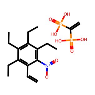 C=C(P(=O)(O)O)P(=O)(O)O.C=Cc1c(CC)c(CC)c(CC)c(CC)c1[N+](=O)[O-]